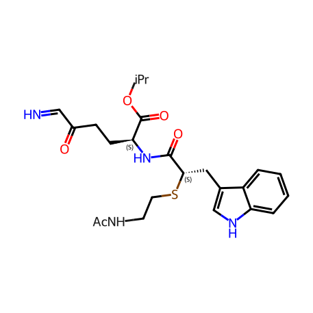 CC(=O)NCCS[C@@H](Cc1c[nH]c2ccccc12)C(=O)N[C@@H](CCC(=O)C=N)C(=O)OC(C)C